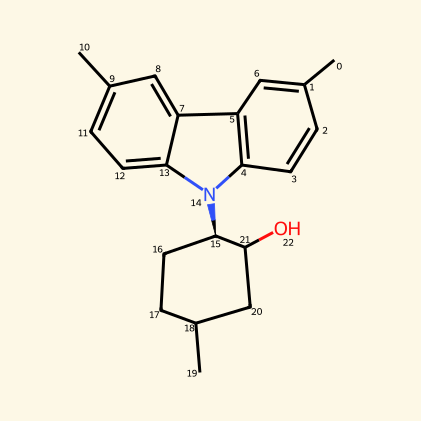 Cc1ccc2c(c1)c1cc(C)ccc1n2[C@@H]1CCC(C)CC1O